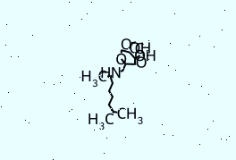 CC(C)CCCCC(C)NCC1OC2OCCCOC1C(O)C2O